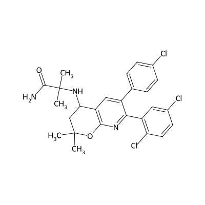 CC1(C)CC(NC(C)(C)C(N)=O)c2cc(-c3ccc(Cl)cc3)c(-c3cc(Cl)ccc3Cl)nc2O1